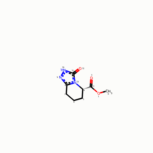 COC(=O)[C@@H]1CCCc2n[nH]c(=O)n21